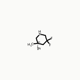 CC(C)[C@]1(C)CNCC(F)(F)C1